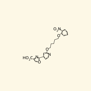 O=C(O)c1coc(-c2ccnc(OCCCCCOc3ccccc3[N+](=O)[O-])c2)n1